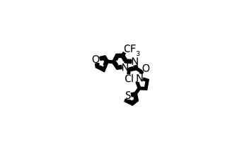 O=C(c1nc2c(C(F)(F)F)cc(-c3ccoc3)cn2c1Cl)N1CCC(c2cccs2)C1